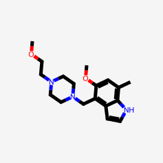 COCCN1CCN(Cc2c(OC)cc(C)c3[nH]ccc23)CC1